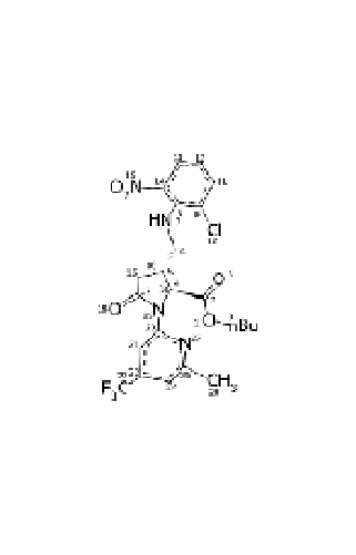 CCCCOC(=O)[C@@H]1[C@@H](CNc2c(Cl)cccc2[N+](=O)[O-])CC(=O)N1c1cc(C(F)(F)F)cc(C)n1